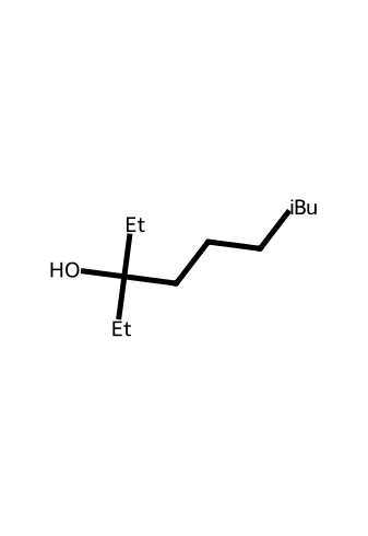 CCC(C)CCCC(O)(CC)CC